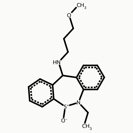 CCN1c2ccccc2C(NCCCOC)c2ccccc2[S+]1[O-]